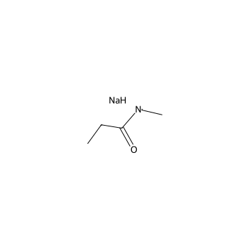 CCC(=O)[N]C.[NaH]